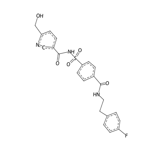 O=C(NCCc1ccc(F)cc1)c1ccc(S(=O)(=O)NC(=O)c2ccc(CO)nc2)cc1